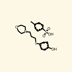 Cc1ccc(S(=O)(=O)O)cc1.Oc1ccc(SCCCN2CCOCC2)cc1